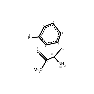 CCc1ccccc1.COC(=O)C(C)N